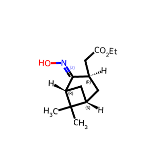 CCOC(=O)C[C@H]1C[C@H]2C[C@@H](/C1=N\O)C2(C)C